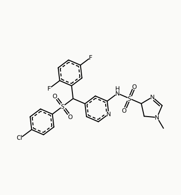 CN1C=NC(S(=O)(=O)Nc2cc(C(c3cc(F)ccc3F)S(=O)(=O)c3ccc(Cl)cc3)ccn2)C1